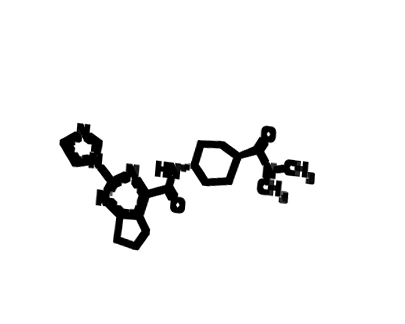 CN(C)C(=O)[C@H]1CC[C@H](NC(=O)c2nc(-n3ccnc3)nc3c2CCC3)CC1